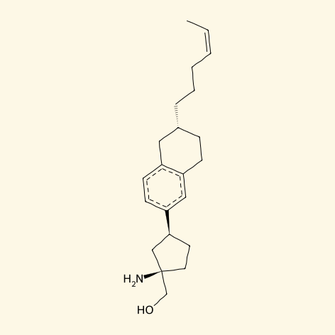 C/C=C\CCC[C@@H]1CCc2cc([C@H]3CC[C@](N)(CO)C3)ccc2C1